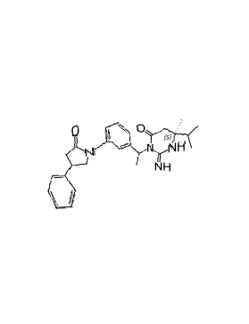 CC(c1cccc(N2CC(c3ccccc3)CC2=O)c1)N1C(=N)N[C@](C)(C(C)C)CC1=O